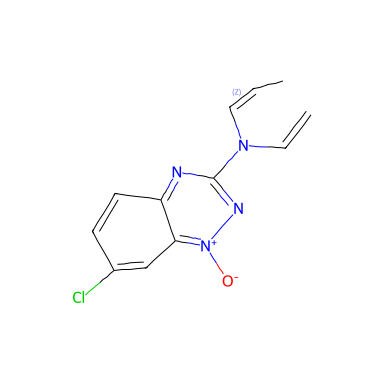 C=CN(/C=C\C)c1nc2ccc(Cl)cc2[n+]([O-])n1